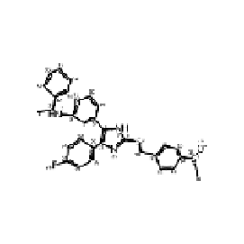 CC(Nc1cc(-c2[nH]c(SCc3ccc([S+](C)[O-])cc3)nc2-c2ccc(F)cc2)ccn1)c1ccccc1